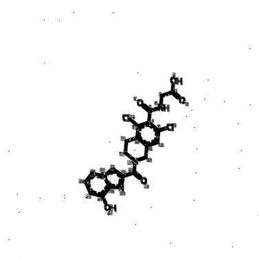 O=C(O)CNC(=O)c1c(Cl)cc2c(c1Cl)CCN(C(=O)c1cn3cccc(O)c3n1)C2